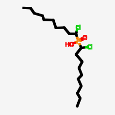 CCCCCCCCCC(Cl)P(=O)(O)C(Cl)CCCCCCCCC